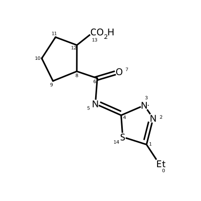 CCC1=N[N]C(=NC(=O)C2CCCC2C(=O)O)S1